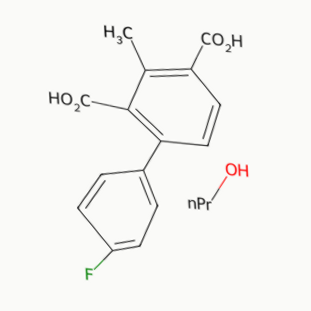 CCCO.Cc1c(C(=O)O)ccc(-c2ccc(F)cc2)c1C(=O)O